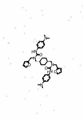 CN(C)c1ccc(NC(=O)N(Cc2ccco2)C[C@H]2CC[C@H](CN(Cc3ccco3)C(=O)Nc3ccc(N(C)C)cc3)CC2)cc1